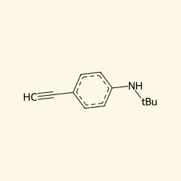 C#Cc1ccc(NC(C)(C)C)cc1